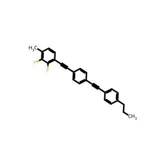 CCCc1ccc(C#Cc2ccc(C#Cc3ccc(C)c(F)c3F)cc2)cc1